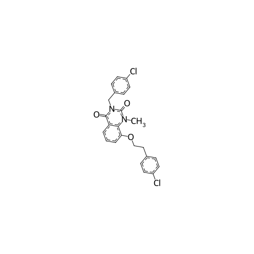 Cn1c(=O)n(Cc2ccc(Cl)cc2)c(=O)c2cccc(OCCc3ccc(Cl)cc3)c21